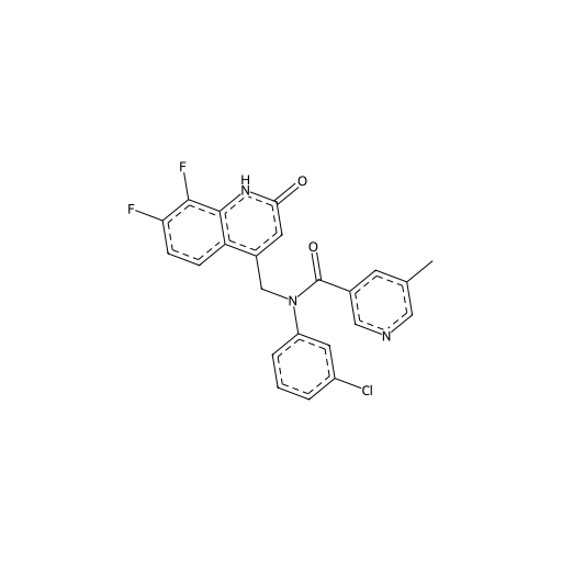 Cc1cncc(C(=O)N(Cc2cc(=O)[nH]c3c(F)c(F)ccc23)c2cccc(Cl)c2)c1